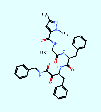 Cc1cc(C(=O)N[C@@H](C)C(=O)N[C@@H](Cc2ccccc2)C(=O)N[C@@H](Cc2ccccc2)C(=O)C(=O)NCc2ccccc2)n(C)n1